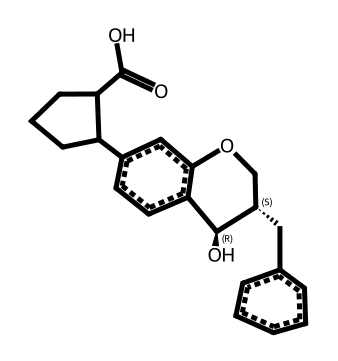 O=C(O)C1CCCC1c1ccc2c(c1)OC[C@H](Cc1ccccc1)[C@H]2O